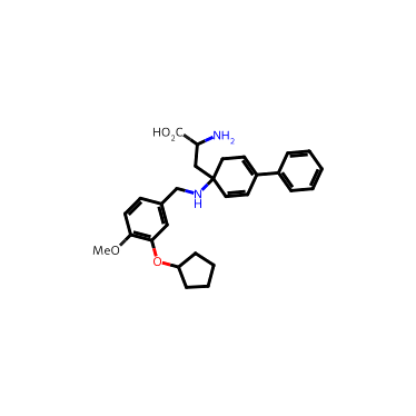 COc1ccc(CNC2(CC(N)C(=O)O)C=CC(c3ccccc3)=CC2)cc1OC1CCCC1